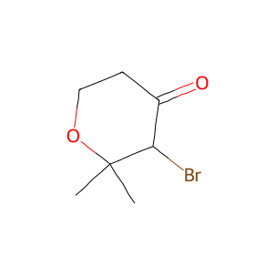 CC1(C)OCCC(=O)C1Br